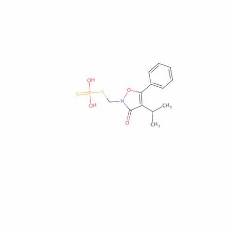 CC(C)c1c(-c2ccccc2)on(CSP(O)(O)=S)c1=O